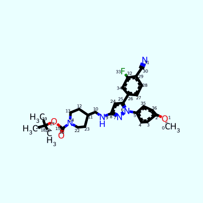 COc1ccc(-n2nc(NCC3CCN(C(=O)OC(C)(C)C)CC3)cc2-c2ccc(C#N)c(F)c2)cc1